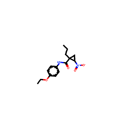 CCCC1(C(=O)Nc2ccc(OCC)cc2)CC1[N+](=O)[O-]